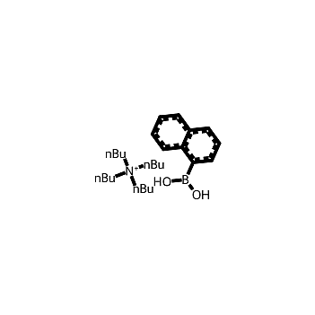 CCCC[N+](CCCC)(CCCC)CCCC.OB(O)c1cccc2ccccc12